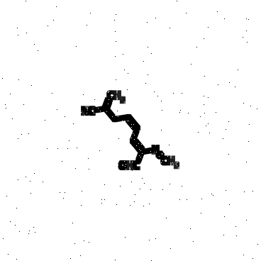 C=N/C(C=O)=C\C=C/CC(=C)C#N